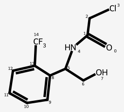 O=C(CCl)NC(CO)c1ccccc1C(F)(F)F